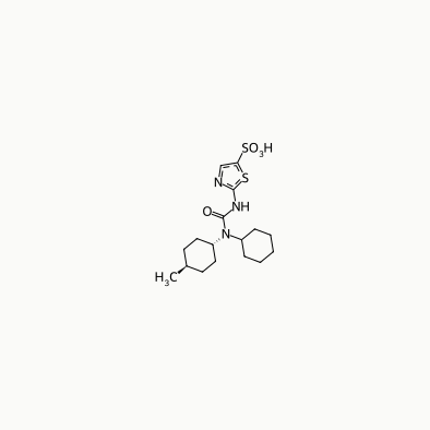 C[C@H]1CC[C@H](N(C(=O)Nc2ncc(S(=O)(=O)O)s2)C2CCCCC2)CC1